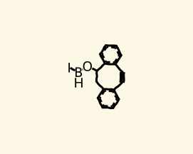 IBOC1Cc2ccccc2C#Cc2ccccc21